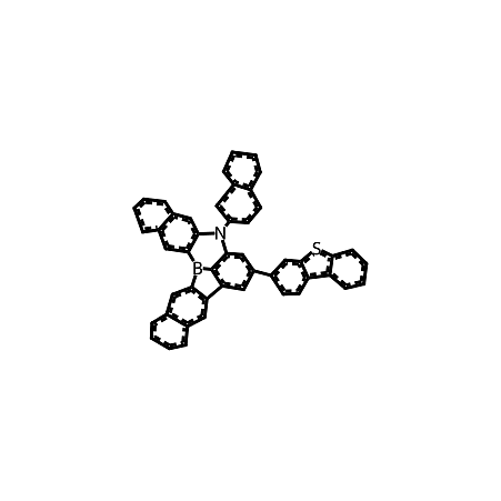 c1ccc2cc(N3c4cc5ccccc5cc4B4c5cc6ccccc6cc5-c5cc(-c6ccc7c(c6)sc6ccccc67)cc3c54)ccc2c1